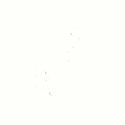 C=C[C@]1(C)C[C@@H](OC(=O)COc2cccc(CNC(=O)[C@@H](CO)NC(=O)OC(C)(C)C)c2)[C@]2(C)C(C)CCC3(CCC(=O)C32)[C@@H](C)[C@@H]1O